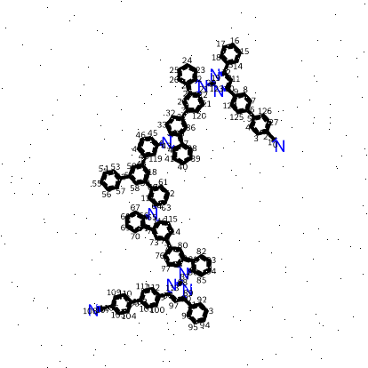 N#Cc1ccc(-c2ccc(-c3cc(-c4ccccc4)nc(-n4c5ccccc5c5cc(-c6ccc7c(c6)c6ccccc6n7-c6cccc(-c7cc(-c8ccccc8)cc(-c8cccc(-n9c%10ccccc%10c%10cc(-c%11ccc%12c(c%11)c%11ccccc%11n%12-c%11nc(-c%12ccccc%12)cc(-c%12ccc(-c%13ccc(C#N)cc%13)cc%12)n%11)ccc%109)c8)c7)c6)ccc54)n3)cc2)cc1